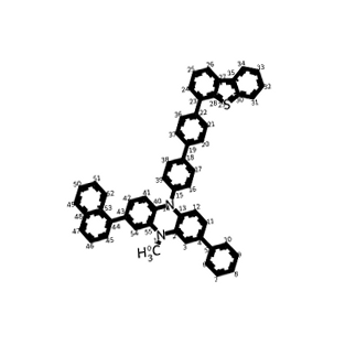 CN1c2cc(-c3ccccc3)ccc2N(c2ccc(-c3ccc(-c4cccc5c4sc4ccccc45)cc3)cc2)c2ccc(-c3cccc4ccccc34)cc21